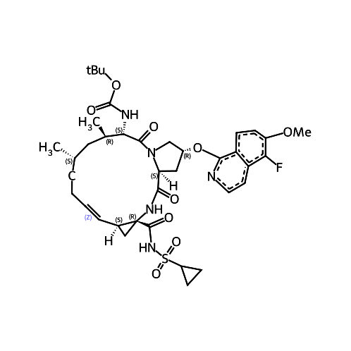 COc1ccc2c(O[C@@H]3C[C@H]4C(=O)N[C@]5(C(=O)NS(=O)(=O)C6CC6)C[C@H]5/C=C\CC[C@H](C)C[C@@H](C)[C@H](NC(=O)OC(C)(C)C)C(=O)N4C3)nccc2c1F